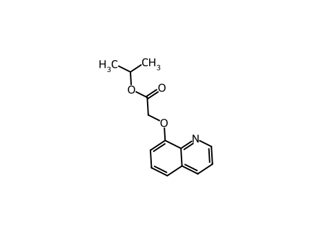 CC(C)OC(=O)COc1cccc2cccnc12